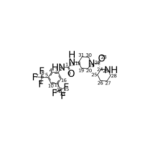 O=C(Nc1cc(C(F)(F)F)cc(C(F)(F)F)c1)NC1CCN(C(=O)[C@H]2CCCCN2)CC1